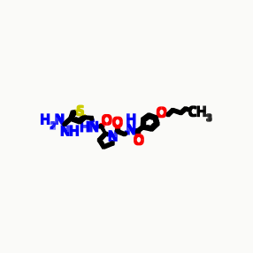 CCCCCOc1ccc(C(=O)NCC(=O)N2CCC[C@H]2C(=O)NCc2cc(C(=N)N)cs2)cc1